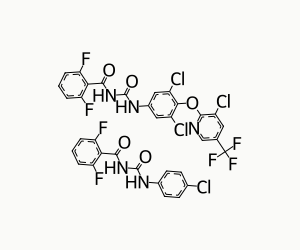 O=C(NC(=O)c1c(F)cccc1F)Nc1cc(Cl)c(Oc2ncc(C(F)(F)F)cc2Cl)c(Cl)c1.O=C(NC(=O)c1c(F)cccc1F)Nc1ccc(Cl)cc1